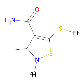 [2H]N1SC(SCC)=C(C(N)=O)C1C